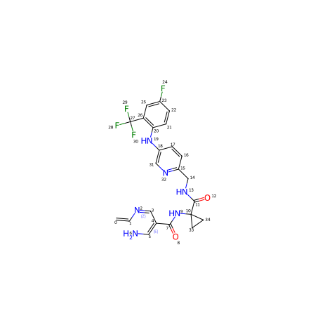 C=C/N=C\C(=C/N)C(=O)NC1(C(=O)NCc2ccc(Nc3ccc(F)cc3C(F)(F)F)cn2)CC1